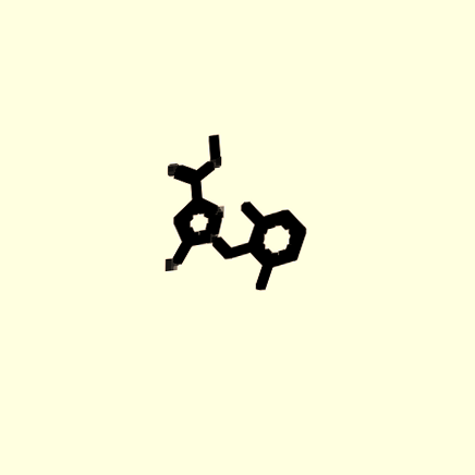 COC(=O)c1cc(Br)n(Cc2c(C)cccc2C)n1